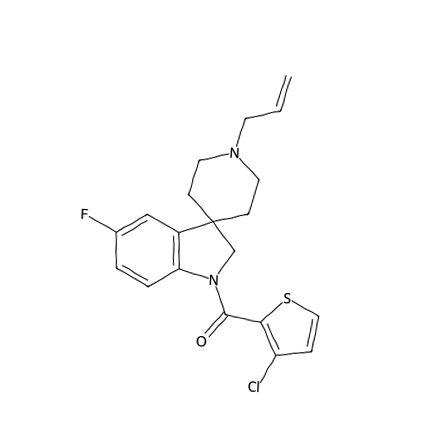 C=CCN1CCC2(CC1)CN(C(=O)c1sccc1Cl)c1ccc(F)cc12